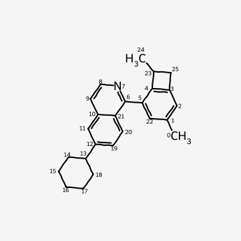 Cc1cc2c(c(-c3nccc4cc(C5CCCCC5)ccc34)c1)C(C)C2